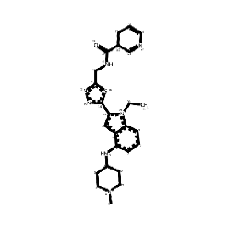 CN1CCC(Nc2cccc3c2cc(-c2nnc(CNC(=O)C4C=NC=CC4)s2)n3CC(F)(F)F)CC1